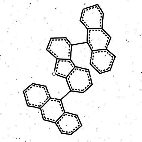 c1ccc2c(-c3cccc4c3oc3cccc(-c5c6ccccc6cc6ccccc56)c34)c3ccccc3cc2c1